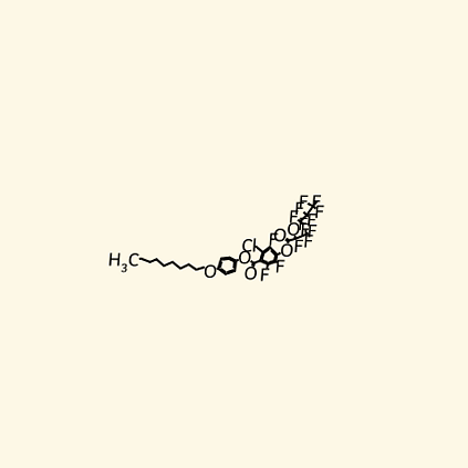 CCCCCCCCCCOc1ccc(OC(=O)c2c(F)c(F)c(OC(=O)C(F)(OC(F)(F)C(F)(F)C(F)(F)F)C(F)(F)F)c(F)c2Cl)cc1